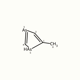 CC1=C[As]=[C][AsH]1